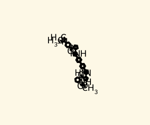 CCN(CC)C1CCC(C(=O)N2CCC[C@H]2c2ncc(-c3ccc(-c4ccc(-c5cnc([C@@H]6CCCN6C(=O)[C@H]6CCCC[C@H]6NC(=O)OC)[nH]5)cc4)cc3)[nH]2)CC1